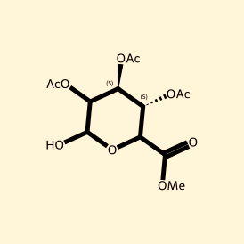 COC(=O)C1OC(O)C(OC(C)=O)[C@@H](OC(C)=O)[C@@H]1OC(C)=O